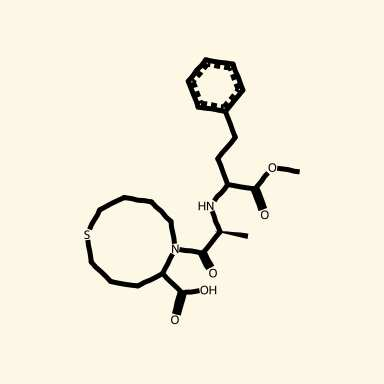 COC(=O)C(CCc1ccccc1)N[C@@H](C)C(=O)N1CCCCSCCCC1C(=O)O